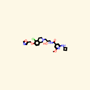 COc1cc(C(=O)NC[C@H](O)CN2CCc3c(ccc(OCc4cnco4)c3Cl)C2)cc(NC2CCC2)n1